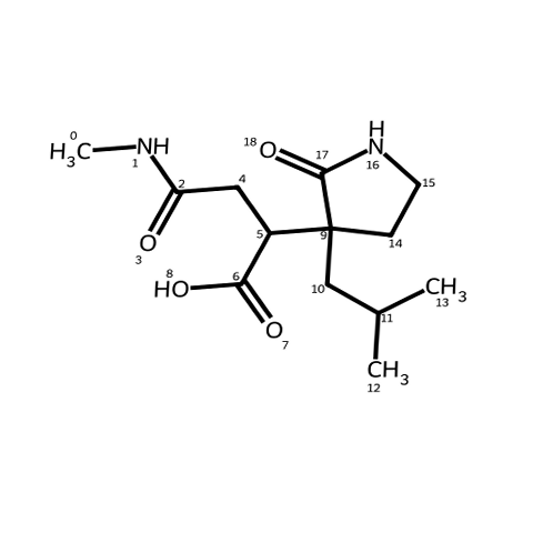 CNC(=O)CC(C(=O)O)C1(CC(C)C)CCNC1=O